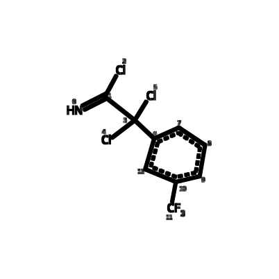 N=C(Cl)C(Cl)(Cl)c1cccc(C(F)(F)F)c1